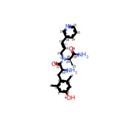 Cc1cc(O)cc(C)c1CC(N)C(=O)N(C/C=C/c1cccnc1)[C@H](C)C(N)=O